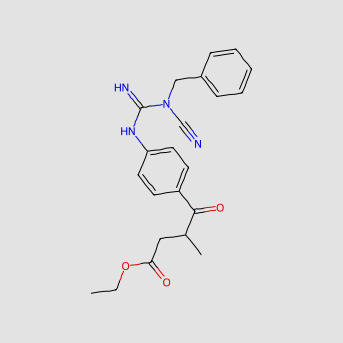 CCOC(=O)CC(C)C(=O)c1ccc(NC(=N)N(C#N)Cc2ccccc2)cc1